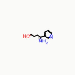 N[C@@H](CCCO)c1cccnc1